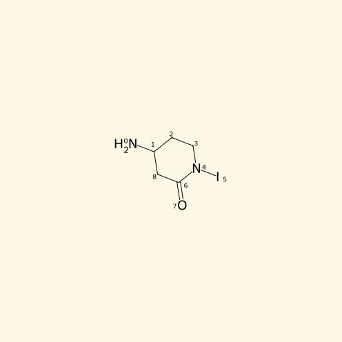 NC1CCN(I)C(=O)C1